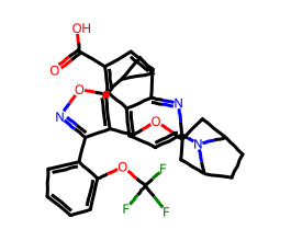 O=C(O)c1ccc2nc(N3C4CCC3CC(OCc3c(-c5ccccc5OC(F)(F)F)noc3C3CC3)C4)ccc2c1